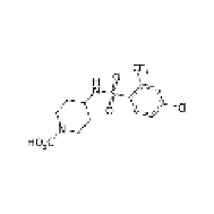 O=C(O)N1CCC(NS(=O)(=O)c2ccc(Cl)cc2C(F)(F)F)CC1